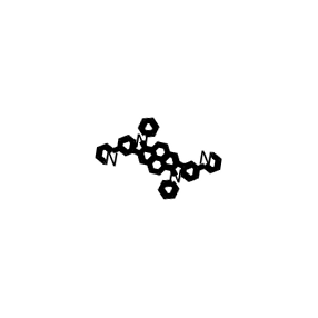 c1ccc(-n2c3ccc(-c4ccccn4)cc3c3cc4c5c(c32)CCc2cc3c6cc(-c7ccccn7)ccc6n(-c6ccccc6)c3c(c2-5)CC4)cc1